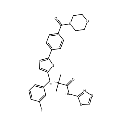 CC(C)(C(=O)Nc1nncs1)[C@H](c1cccc(F)c1)c1ccc(-c2ccc(C(=O)N3CCOCC3)cc2)s1